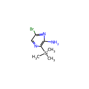 C[Si](C)(C)c1ncc(Br)nc1N